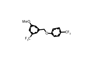 COc1cc(COc2ccc(C(F)(F)F)cc2)cc(C(F)(F)F)c1